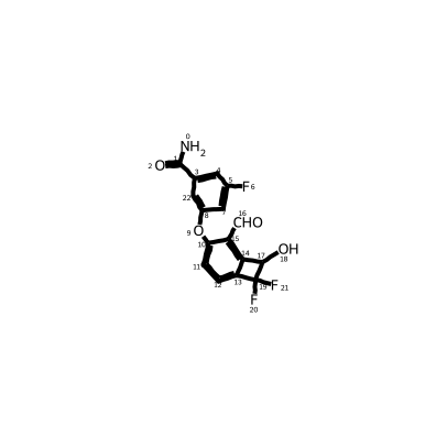 NC(=O)c1cc(F)cc(OC2=C=C=C3C(=C2C=O)C(O)C3(F)F)c1